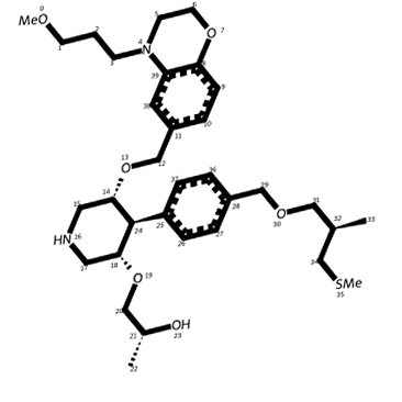 COCCCN1CCOc2ccc(CO[C@H]3CNC[C@@H](OC[C@@H](C)O)[C@@H]3c3ccc(COC[C@@H](C)CSC)cc3)cc21